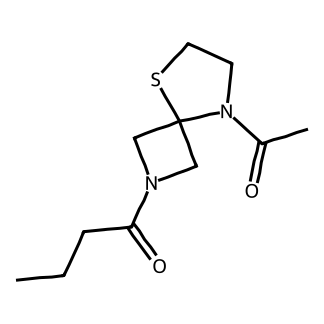 CCCC(=O)N1CC2(C1)SCCN2C(C)=O